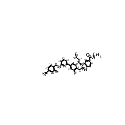 COC(=O)c1ccc2nc(Cc3ccc(-c4cccc(OCc5ccc(C#N)cc5F)n4)cc3F)n(CCCF)c2c1